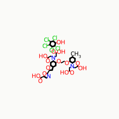 Cc1ccc(N(CC(=O)O)CC(=O)O)c(OCCOc2cc3cc(-c4ncc(C(=O)O)o4)oc3cc2N(CC(=O)O)CC(=O)O)c1.Oc1c(Cl)c(Cl)c(Cl)c(Cl)c1Cl